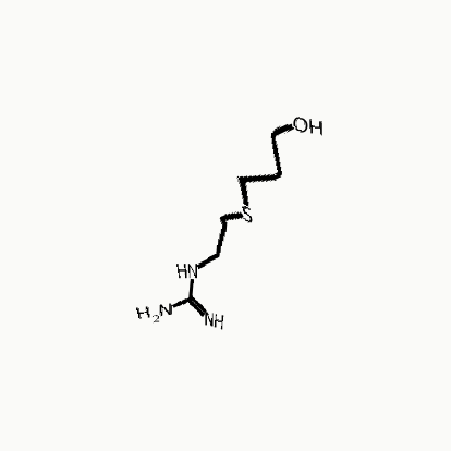 N=C(N)NCCSCCCO